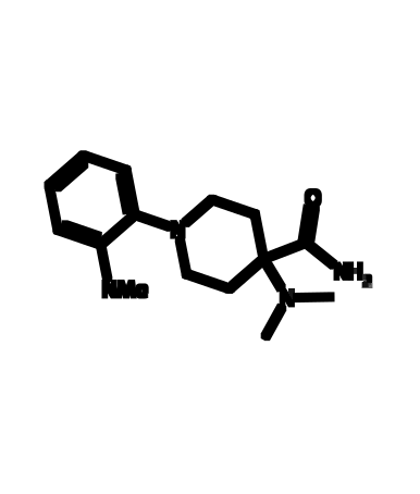 CNc1ccccc1N1CCC(C(N)=O)(N(C)C)CC1